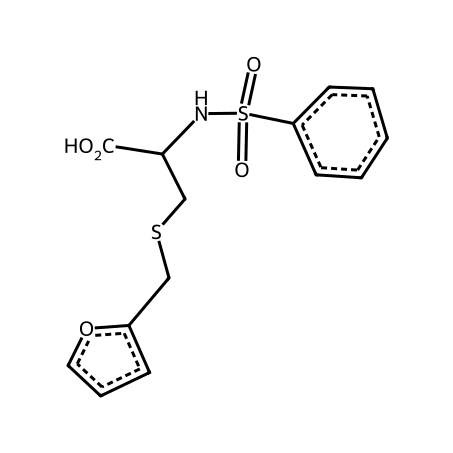 O=C(O)C(CSCc1ccco1)NS(=O)(=O)c1ccccc1